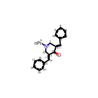 CCCN1C/C(=C\c2ccccc2)C(=O)/C(=C/c2ccccc2)C1